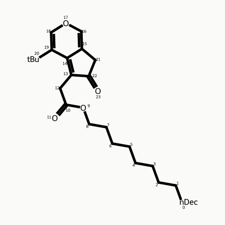 CCCCCCCCCCCCCCCCCCOC(=O)CC1=C2C(=COC=C2C(C)(C)C)CC1=O